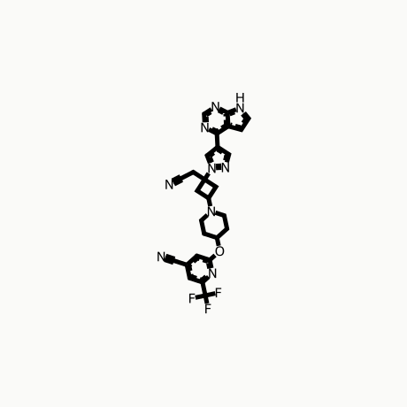 N#CCC1(n2cc(-c3ncnc4[nH]ccc34)cn2)CC(N2CCC(Oc3cc(C#N)cc(C(F)(F)F)n3)CC2)C1